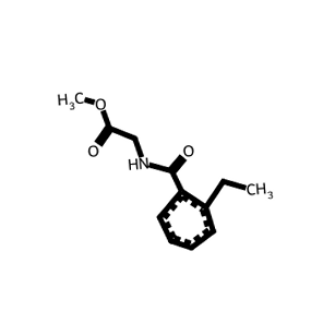 CCc1ccccc1C(=O)NCC(=O)OC